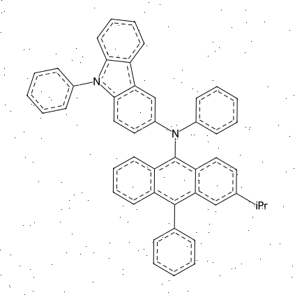 CC(C)c1ccc2c(N(c3ccccc3)c3ccc4c(c3)c3ccccc3n4-c3ccccc3)c3ccccc3c(-c3ccccc3)c2c1